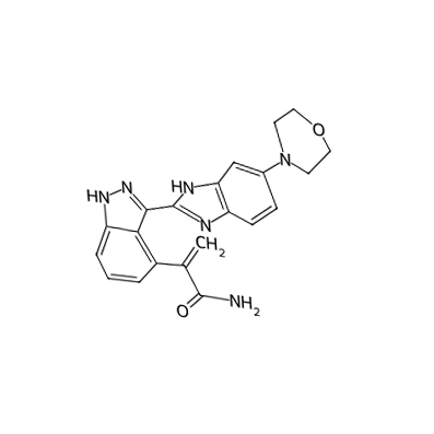 C=C(C(N)=O)c1cccc2[nH]nc(-c3nc4ccc(N5CCOCC5)cc4[nH]3)c12